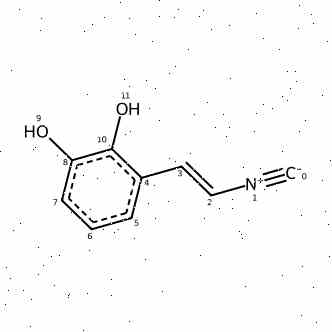 [C-]#[N+]/C=C/c1cccc(O)c1O